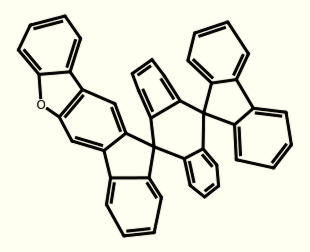 c1ccc2c(c1)-c1ccccc1C21c2ccccc2C2(c3ccccc3-c3cc4oc5ccccc5c4cc32)c2ccccc21